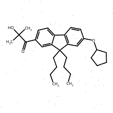 CCCCC1(CCCC)c2cc(OC3CCCC3)ccc2-c2ccc(C(=O)C(C)(C)O)cc21